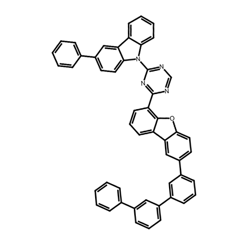 c1ccc(-c2cccc(-c3cccc(-c4ccc5oc6c(-c7ncnc(-n8c9ccccc9c9cc(-c%10ccccc%10)ccc98)n7)cccc6c5c4)c3)c2)cc1